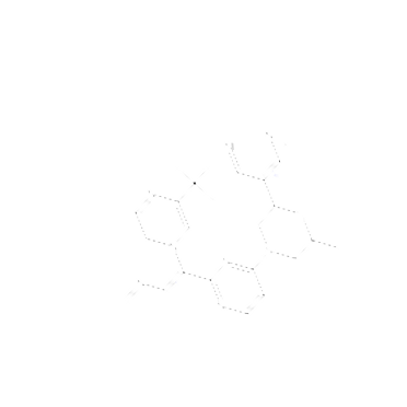 C=N/C=C(/c1nccc(N2CC(C)OC(/C(C=N)=C/N)C2)n1)N1C=C(C(F)(F)F)N=CC1